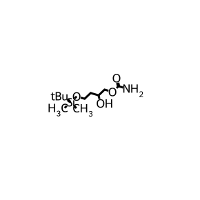 CC(C)(C)[Si](C)(C)OCCC(O)COC(N)=O